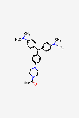 CCC(C)C(=O)N1CCN(c2ccc(C(c3ccc(N(C)C)cc3)c3ccc(N(C)C)cc3)cc2)CC1